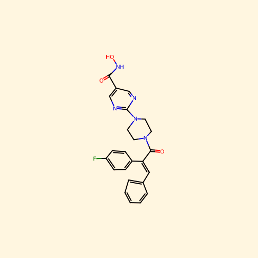 O=C(NO)c1cnc(N2CCN(C(=O)C(=Cc3ccccc3)c3ccc(F)cc3)CC2)nc1